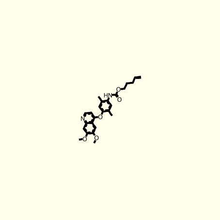 C=CCCCOC(=O)Nc1cc(C)c(Oc2ccnc3cc(OC)c(OC)cc23)cc1C